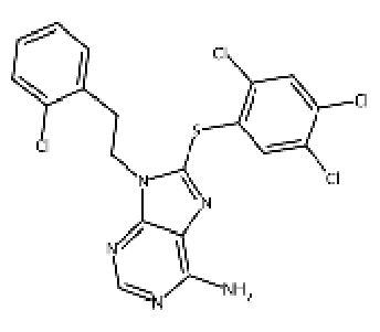 Nc1ncnc2c1nc(Sc1cc(Cl)c(Cl)cc1Cl)n2CCc1ccccc1Cl